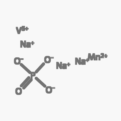 O=P([O-])([O-])[O-].[Mn+2].[Na+].[Na+].[Na+].[V+5]